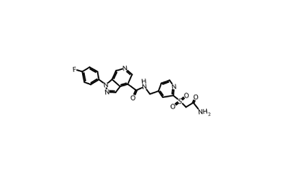 NC(=O)CS(=O)(=O)c1cc(CNC(=O)c2cncc3c2cnn3-c2ccc(F)cc2)ccn1